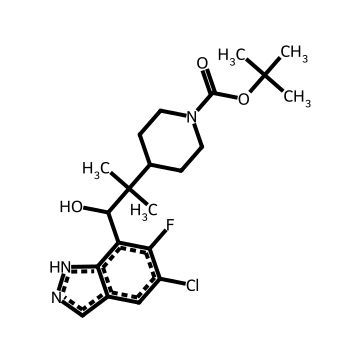 CC(C)(C)OC(=O)N1CCC(C(C)(C)C(O)c2c(F)c(Cl)cc3cn[nH]c23)CC1